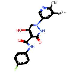 CSc1cc(N2CC(O)=C(C(=O)Nc3ccc(F)cc3)C(=O)N2)cnc1C#N